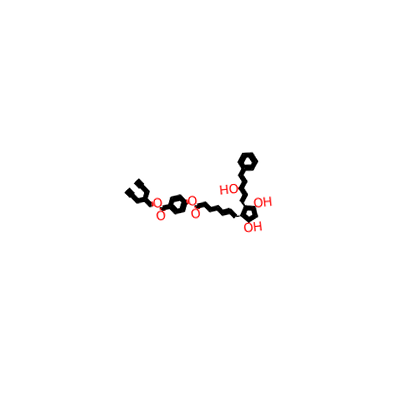 C#CCC(CC#C)COC(=O)c1ccc(OC(=O)CCCC=CC[C@@H]2[C@@H](CC[C@@H](O)CCc3ccccc3)[C@H](O)C[C@@H]2O)cc1